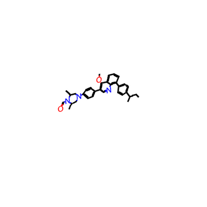 CCC(C)c1ccc(-c2cccc3c(OC)c(-c4ccc(N5CC(C)N(C=O)C(C)C5)cc4)cnc23)cc1